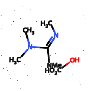 CN=C(NC)N(C)C.O=C(O)O